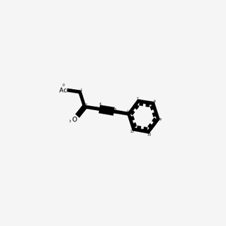 CC(=O)CC(=O)C#Cc1ccccc1